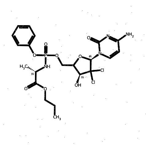 CCCOC(=O)[C@H](C)NP(=O)(OCC1O[C@@H](n2ccc(N)nc2=O)C(Cl)(Cl)[C@H]1O)Oc1ccccc1